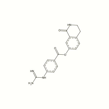 N=C(N)Nc1ccc(C(=O)Oc2ccc3c(c2)C(=O)NCC3)cc1